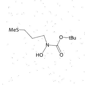 CSCCCN(O)C(=O)OC(C)(C)C